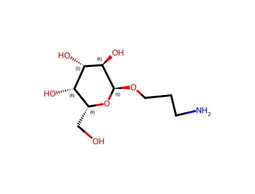 NCCCO[C@H]1O[C@H](CO)[C@H](O)[C@H](O)[C@H]1O